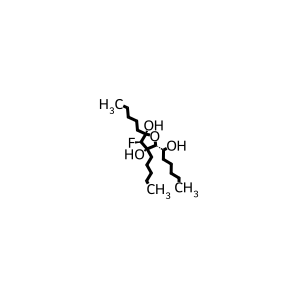 CCCCCC(O)[C@H]1O[C@@](O)(CCCCC)[C@H](F)[C@@]1(O)CCCCC